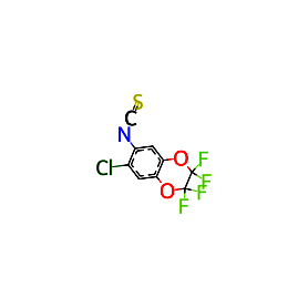 FC1(F)Oc2cc(Cl)c(N=C=S)cc2OC1(F)F